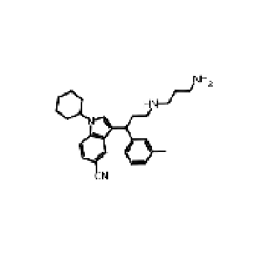 Cc1cccc(C(CCNCCCN)c2cn(C3CCCCC3)c3ccc(C#N)cc23)c1